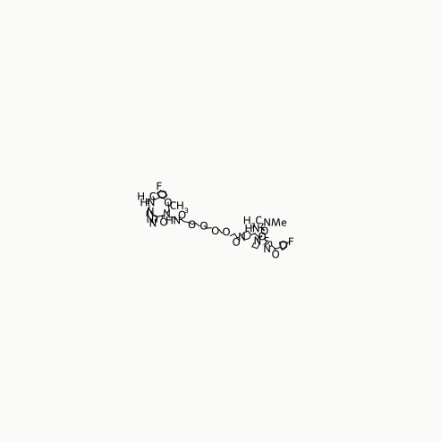 CN[C@@H](C)C(=O)N[C@H](C(=O)N1CCC[C@H]1C1=NC(C(=O)c2ccc(F)cc2)CS1)C1CCN(C(=O)CCOCCOCCOCCOCCC(=O)NCCN2C[C@H](C)Oc3ccc(F)cc3C(C)Nc3ccn4ncc(c4n3)C2=O)CC1